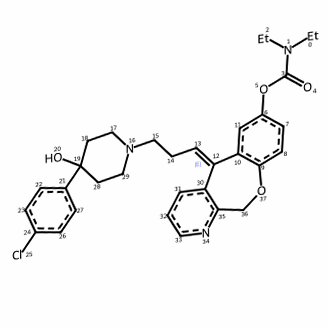 CCN(CC)C(=O)Oc1ccc2c(c1)/C(=C/CCN1CCC(O)(c3ccc(Cl)cc3)CC1)c1cccnc1CO2